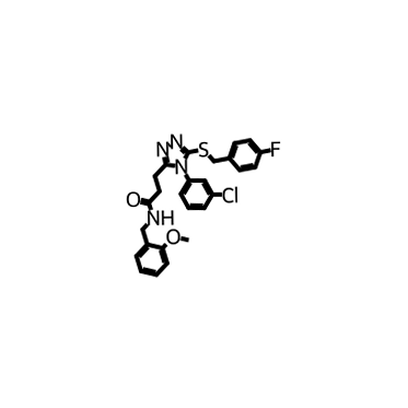 COc1ccccc1CNC(=O)CCc1nnc(SCc2ccc(F)cc2)n1-c1cccc(Cl)c1